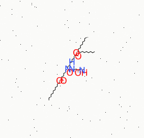 CCCCCCCCCCCOC(=O)CCCCCN(CCCCCCCC(=O)OC(CCCCCCCC)CCCCCCCC)C(=O)NCCC(O)CN(C)C